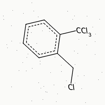 ClCc1ccccc1C(Cl)(Cl)Cl